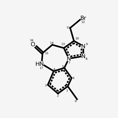 Cc1ccc2c(c1)-n1nnc(CBr)c1CC(=O)N2